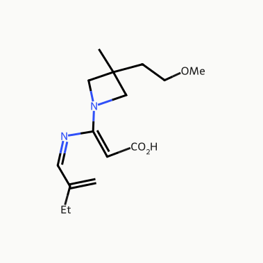 C=C(/C=N\C(=C\C(=O)O)N1CC(C)(CCOC)C1)CC